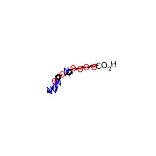 O=C(O)COCCOCCOCCOc1ccc(COc2ccc3oc(N4CCn5ccnc5C4)nc3c2)nc1